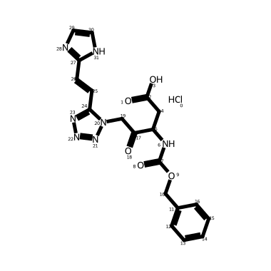 Cl.O=C(O)CC(NC(=O)OCc1ccccc1)C(=O)Cn1nnnc1C=Cc1ncc[nH]1